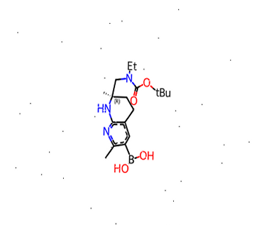 CCN(C[C@@]1(C)CCc2cc(B(O)O)c(C)nc2N1)C(=O)OC(C)(C)C